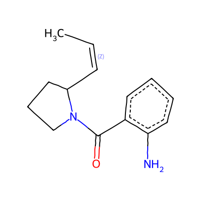 C/C=C\C1CCCN1C(=O)c1ccccc1N